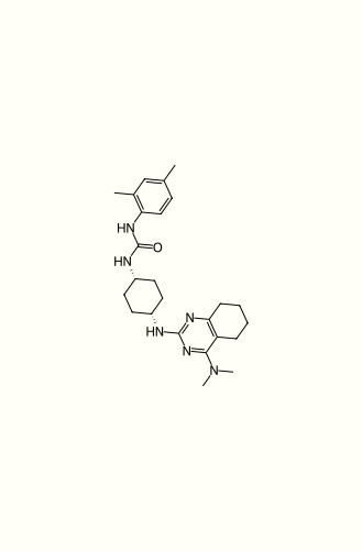 Cc1ccc(NC(=O)N[C@H]2CC[C@@H](Nc3nc4c(c(N(C)C)n3)CCCC4)CC2)c(C)c1